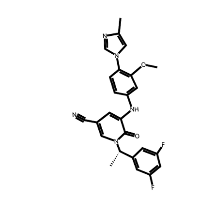 COc1cc(Nc2cc(C#N)cn([C@@H](C)c3cc(F)cc(F)c3)c2=O)ccc1-n1cnc(C)c1